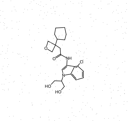 O=C(CC1(C2CCCCC2)COC1)Nc1cn(C(CO)CO)c2cccc(Cl)c12